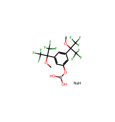 COC(c1cc(OB(O)O)cc(C(OC)(C(F)(F)F)C(F)(F)F)c1)(C(F)(F)F)C(F)(F)F.[NaH]